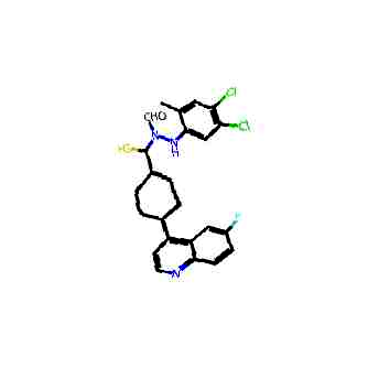 Cc1cc(Cl)c(Cl)cc1NN(C=O)C(S)C1CCC(c2ccnc3ccc(F)cc23)CC1